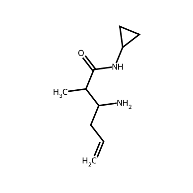 C=CCC(N)C(C)C(=O)NC1CC1